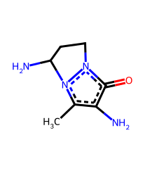 Cc1c(N)c(=O)n2n1C(N)CC2